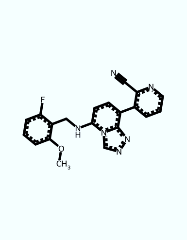 COc1cccc(F)c1CNc1ccc(-c2cccnc2C#N)c2nncn12